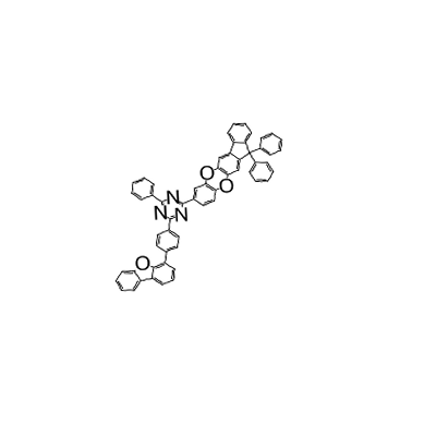 c1ccc(-c2nc(-c3ccc(-c4cccc5c4oc4ccccc45)cc3)nc(-c3ccc4c(c3)Oc3cc5c(cc3O4)C(c3ccccc3)(c3ccccc3)c3ccccc3-5)n2)cc1